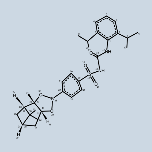 CC(C)c1cccc(C(C)C)c1NC(=O)NS(=O)(=O)c1ccc(B2O[C@@H]3C[C@@H]4C[C@@H](C4(C)C)[C@]3(C)O2)cc1